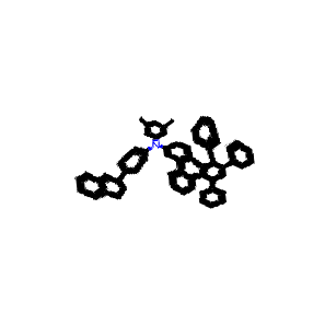 Cc1cc(C)cc(N(c2ccc(-c3ccc4ccccc4c3)cc2)c2ccc3c(c2)c2ccccc2c2c(-c4ccccc4)cc(-c4ccccc4)c(-c4ccccc4)c32)c1